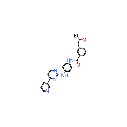 CCC(=O)Cc1cccc(C(=O)Nc2ccc(Nc3nccc(-c4cccnc4)n3)cc2)c1